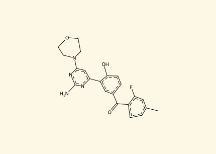 Cc1ccc(C(=O)c2ccc(O)c(-c3cc(N4CCOCC4)nc(N)n3)c2)c(F)c1